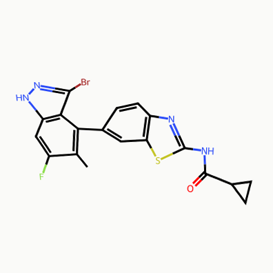 Cc1c(F)cc2[nH]nc(Br)c2c1-c1ccc2nc(NC(=O)C3CC3)sc2c1